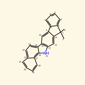 CC1(C)c2ccccc2-c2cc3c(cc21)[nH]c1c2ccccc2ccc31